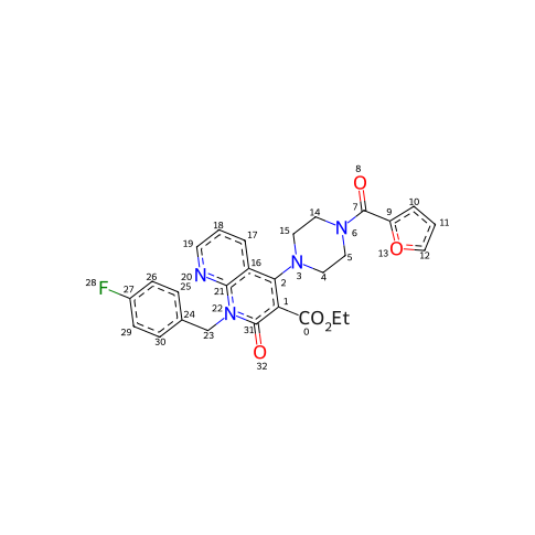 CCOC(=O)c1c(N2CCN(C(=O)c3ccco3)CC2)c2cccnc2n(Cc2ccc(F)cc2)c1=O